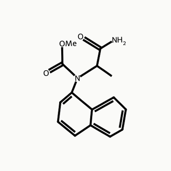 COC(=O)N(c1cccc2ccccc12)C(C)C(N)=O